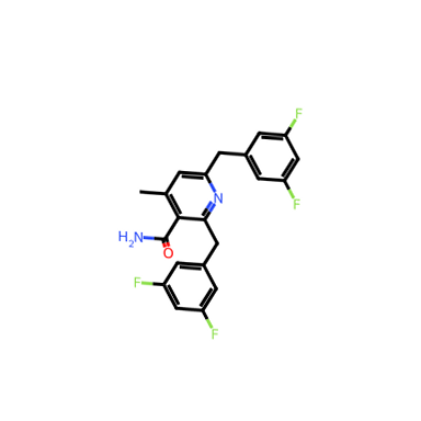 Cc1cc(Cc2cc(F)cc(F)c2)nc(Cc2cc(F)cc(F)c2)c1C(N)=O